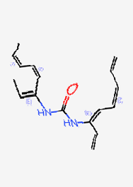 C=C/C=C\C=C(/C=C)NC(=O)NC(/C=C\C=C/C)=C/C